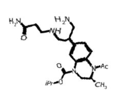 CC(=O)N1c2ccc(C(CN)CNCCC(N)=O)cc2N(C(=O)OC(C)C)C[C@@H]1C